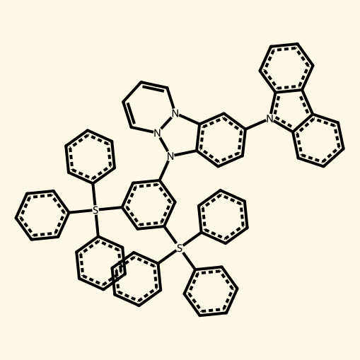 C1=CN2c3cc(-n4c5ccccc5c5ccccc54)ccc3N(c3cc(S(c4ccccc4)(c4ccccc4)c4ccccc4)cc(S(c4ccccc4)(c4ccccc4)c4ccccc4)c3)N2C=C1